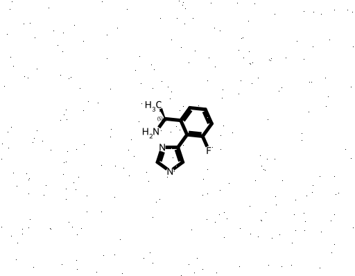 C[C@H](N)c1cccc(F)c1C1=C[N]C=N1